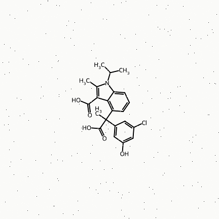 Cc1c(C(=O)O)c2c(C(C)(C(=O)O)c3cc(O)cc(Cl)c3)cccc2n1C(C)C